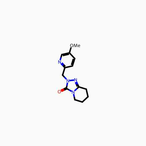 COc1ccc(Cn2nc3n(c2=O)CCCC3)nc1